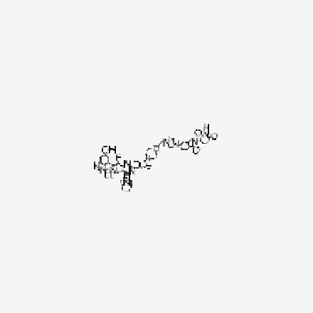 CCn1cnc2cc(O)cc(-c3ncc4c(N5CC6CCC(C5)N6)nc(OCC5(CN6CCC7(CC6)CC(CN6CCN(c8ccc9c(c8)CN([C@H]8CCC(=O)NC8=O)C9=O)CC6)C7)CC5)nc4c3F)c21